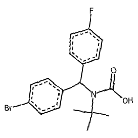 CC(C)(C)N(C(=O)O)C(c1ccc(F)cc1)c1ccc(Br)cc1